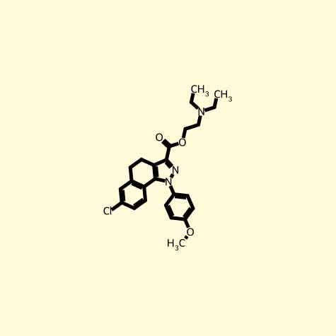 CCN(CC)CCOC(=O)c1nn(-c2ccc(OC)cc2)c2c1CCc1cc(Cl)ccc1-2